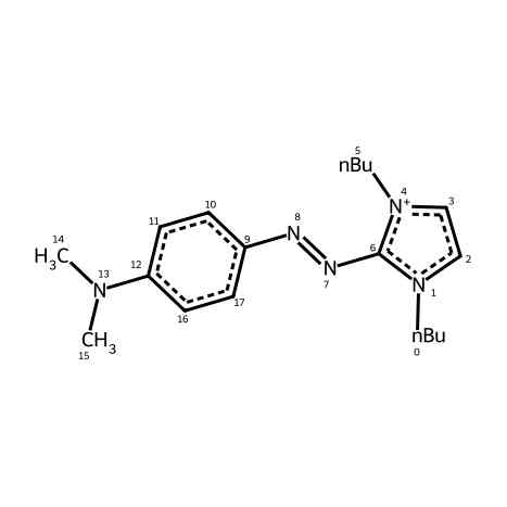 CCCCn1cc[n+](CCCC)c1/N=N/c1ccc(N(C)C)cc1